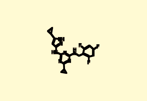 Fc1cc(F)c(CNc2nc(Nc3cc(C4CC4)[nH]n3)nc(C3CC3)n2)c(F)c1